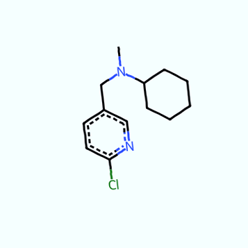 CN(Cc1ccc(Cl)nc1)C1CCCCC1